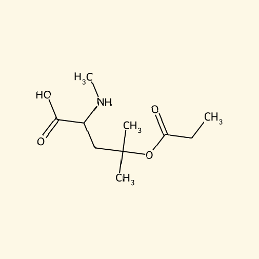 CCC(=O)OC(C)(C)CC(NC)C(=O)O